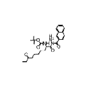 CCC(=O)CCCCCC(NC(=O)OC(C)(C)C)C(=O)N(N)C(=O)c1ccc2ccccc2c1